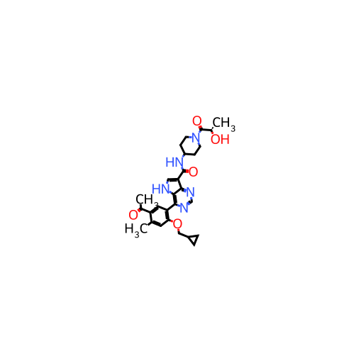 CC(=O)c1cc(-c2ncnc3c(C(=O)NC4CCN(C(=O)[C@H](C)O)CC4)c[nH]c23)c(OCC2CC2)cc1C